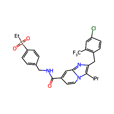 CCS(=O)(=O)c1ccc(CNC(=O)c2ccn3c(C(C)C)c(Cc4ccc(Cl)cc4C(F)(F)F)nc3c2)cc1